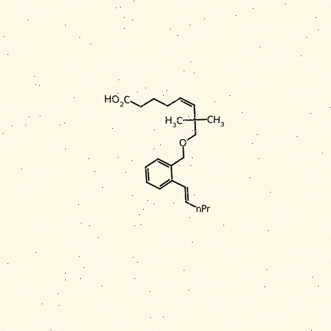 CCCC=Cc1ccccc1COCC(C)(C)/C=C\CCCC(=O)O